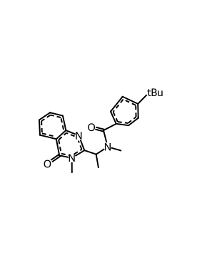 CC(c1nc2ccccc2c(=O)n1C)N(C)C(=O)c1ccc(C(C)(C)C)cc1